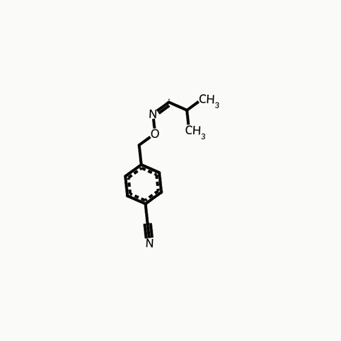 CC(C)/[C]=N\OCc1ccc(C#N)cc1